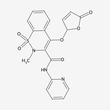 CN1C(C(=O)Nc2ccccn2)=C(OC2C=CC(=O)O2)c2ccccc2S1(=O)=O